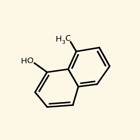 Cc1cccc2cccc(O)c12